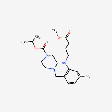 Cc1ccc(CN2CCN(C(=O)OC(C)C(F)(F)F)CC2)c(NCCCC(=O)OC(C)(C)C)c1